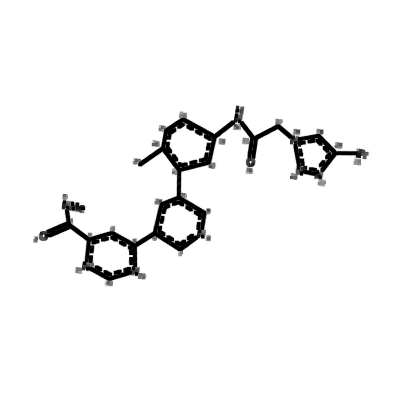 CNC(=O)c1cc(-c2cncc(-c3cc(NC(=O)Cn4cc(C(C)C)nn4)ccc3C)c2)ncn1